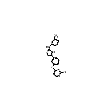 CCc1nccc(Oc2cccc(-c3nnc(Nc4cccc(C(F)(F)F)c4)[nH]3)c2)n1